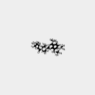 [2H]c1c(OC([2H])([2H])[2H])c(OC([2H])([2H])[2H])c([2H])c2c(N([2H])[2H])nc(N3C([2H])([2H])CN(C(=O)C4OC([2H])([2H])C([2H])([2H])C4([2H])[2H])CC3([2H])[2H])nc12